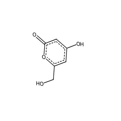 O=c1cc(O)cc(CO)o1